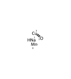 [Mn].[NaH].[O]=[Cu]